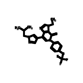 CCn1cnc2c(-c3cnn(CC(C)C)c3)cn(-c3ccc(OC(F)(F)F)cc3)c(=O)c21